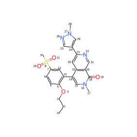 CCCOc1ccc(S(C)(=O)=O)cc1-c1cn(C)c(=O)c2cnc(-c3cnn(C)c3)cc12